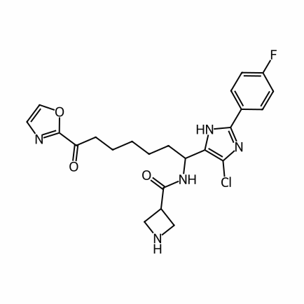 O=C(CCCCCC(NC(=O)C1CNC1)c1[nH]c(-c2ccc(F)cc2)nc1Cl)c1ncco1